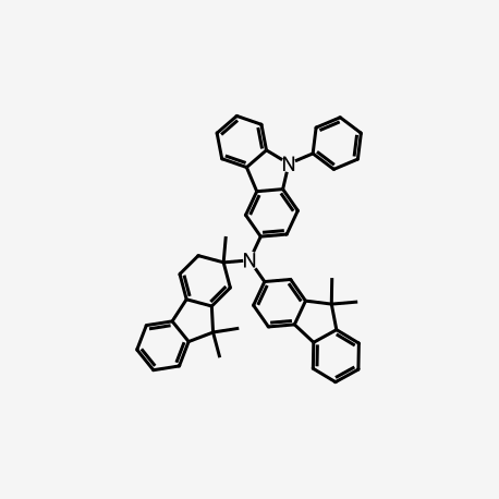 CC1(C)C2=CC(C)(N(c3ccc4c(c3)C(C)(C)c3ccccc3-4)c3ccc4c(c3)c3ccccc3n4-c3ccccc3)CC=C2c2ccccc21